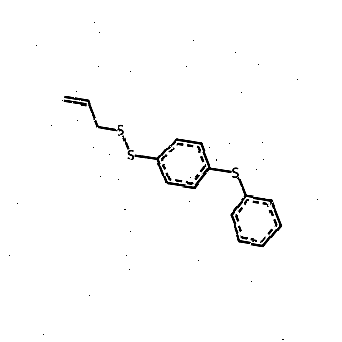 C=CCSSc1ccc(Sc2ccccc2)cc1